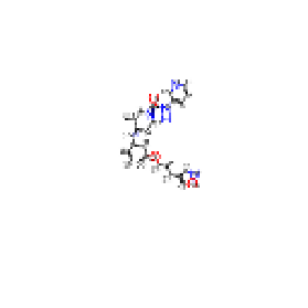 CC1CN(C(=O)Nc2cccnc2)CC/C1=C\c1cccc(OCCCc2cnoc2)c1